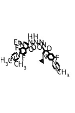 CCn1cc(NC(=O)Nc2nnc(-c3cn(C4CC4)c4cc(N5CCN(C)CC5)c(F)cc4c3=O)o2)c(=O)c2cc(F)c(N3CCN(C)C(C)C3)c(F)c21